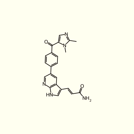 Cc1ncc(C(=O)c2ccc(-c3cnc4[nH]cc(/C=C/C(N)=O)c4c3)cc2)n1C